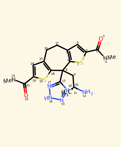 CNC(=O)c1cc2c(s1)C(C[C@H](C)N)(c1nn[nH]n1)c1sc(C(=O)NC)cc1CC2